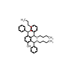 CCCCOC(c1ccccc1)c1ccc(O)c(C(OCCCC)c2ccccc2)c1C(OCCCC)c1ccccc1